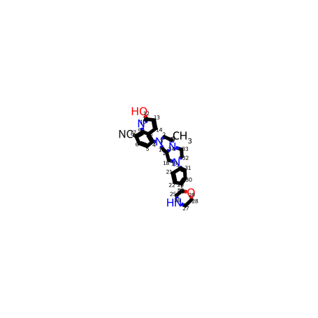 C[C@H]1CN(c2ccc(C#N)c3nc(O)ccc23)CC2CN(c3ccc([C@H]4CNCCO4)cc3)CCN21